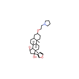 C[C@]12CCC(OCCN3CCCC3)CC1CC[C@@H]1[C@H]2CC[C@]2(C)C(O)(c3ccoc3)CC3O[C@]312